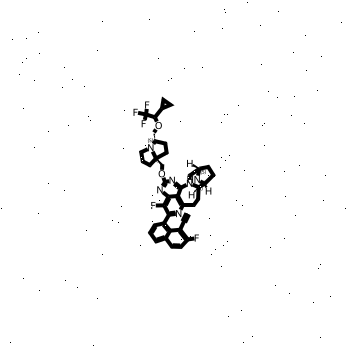 C#Cc1c(F)ccc2cccc(-c3nc4c5c(nc(OC[C@@]67CCCN6[C@H](COC(C6CC6)C(F)(F)F)CC7)nc5c3F)N3C[C@@H]5CC[C@@H](N5)[C@H]3CC4)c12